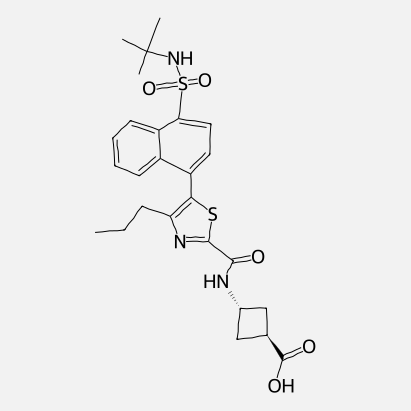 CCCc1nc(C(=O)N[C@H]2C[C@H](C(=O)O)C2)sc1-c1ccc(S(=O)(=O)NC(C)(C)C)c2ccccc12